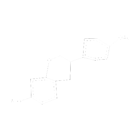 CC(=O)Oc1ccc(C2COc3cc(OC(C)=O)ccc3C2)cc1